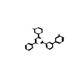 CC1C=CCC(c2cc(-c3ccccc3)nc(-c3cccc(-c4cccc(Cl)c4)c3)n2)C1